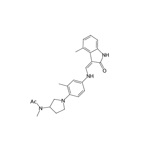 CC(=O)N(C)C1CCN(c2ccc(N/C=C3\C(=O)Nc4cccc(C)c43)cc2C)C1